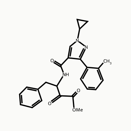 COC(=O)C(=O)C(Cc1ccccc1)NC(=O)c1cn(C2CC2)nc1-c1ccccc1C